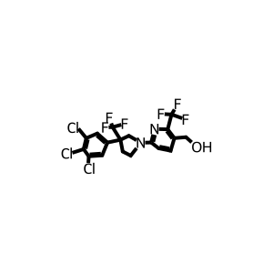 OCc1ccc(N2CCC(c3cc(Cl)c(Cl)c(Cl)c3)(C(F)(F)F)C2)nc1C(F)(F)F